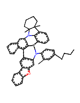 CCCCc1ccc(N2B3c4cccc5c4N(c4cc6ccccc6c(c43)-c3cc4c(cc32)oc2ccccc24)C2(C)CCCCC52C)c(C)c1